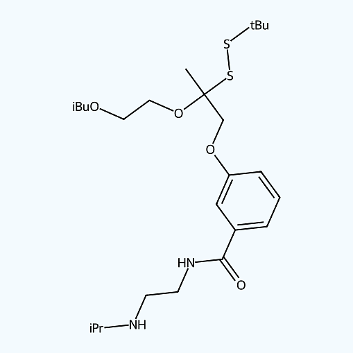 CC(C)COCCOC(C)(COc1cccc(C(=O)NCCNC(C)C)c1)SSC(C)(C)C